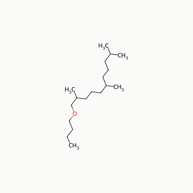 CCCCOCC(C)CCCC(C)CCCC(C)C